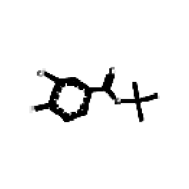 CC(C)(C)OC(=O)c1ccc(F)c(Cl)c1